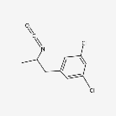 CC(Cc1cc(Cl)cc(Cl)c1)N=C=O